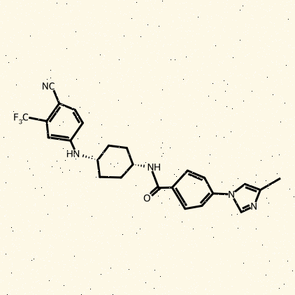 Cc1cn(-c2ccc(C(=O)N[C@H]3CC[C@@H](Nc4ccc(C#N)c(C(F)(F)F)c4)CC3)cc2)cn1